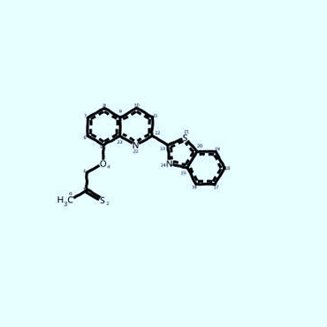 CC(=S)COc1cccc2ccc(-c3nc4ccccc4s3)nc12